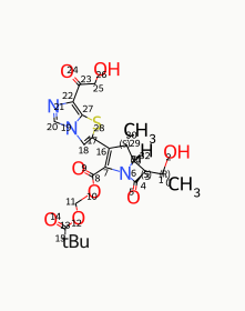 C[C@@H](O)[C@H]1C(=O)N2C(C(=O)OCOC(=O)C(C)(C)C)=C(c3cn4cnc(C(=O)CO)c4s3)[C@H](C)[C@H]12